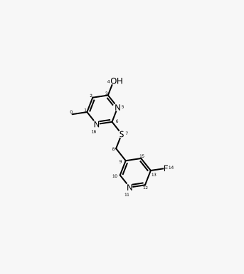 Cc1cc(O)nc(SCc2cncc(F)c2)n1